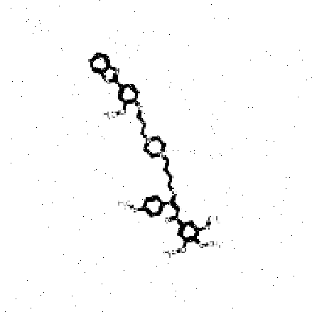 COc1ccc(C(=CC(=O)c2cc(OC)c(OC)c(OC)c2)OCCCCN2CCN(CCCOc3ccc(-c4nc5ccccc5s4)cc3OC)CC2)cc1